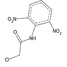 O=C(CCl)Nc1c([N+](=O)[O-])cccc1[N+](=O)[O-]